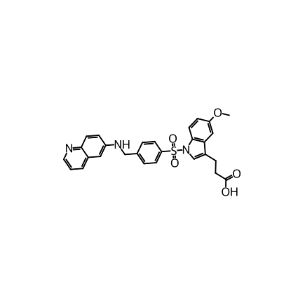 COc1ccc2c(c1)c(CCC(=O)O)cn2S(=O)(=O)c1ccc(CNc2ccc3ncccc3c2)cc1